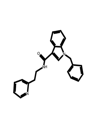 O=C(NCCc1ccccn1)c1cn(Cc2ccccc2)c2ccccc12